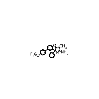 CN1C(=O)C(c2ccccc2)(c2cccc(-c3ccc(OC(F)(F)F)cc3)c2)N=C1N